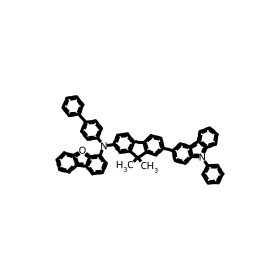 CC1(C)c2cc(-c3ccc4c(c3)c3ccccc3n4-c3ccccc3)ccc2-c2ccc(N(c3ccc(-c4ccccc4)cc3)c3cccc4c3oc3ccccc34)cc21